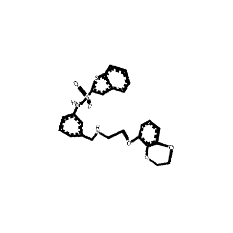 O=S(=O)(Nc1cccc(CNCCOc2cccc3c2OCCO3)c1)c1cc2ccccc2s1